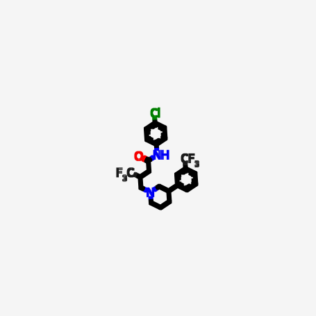 O=C(CC(CN1CCCC(c2cccc(C(F)(F)F)c2)C1)C(F)(F)F)Nc1ccc(Cl)cc1